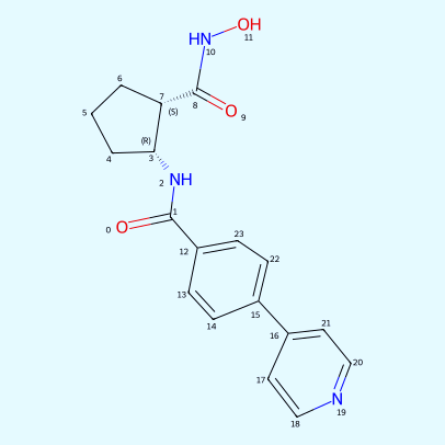 O=C(N[C@@H]1CCC[C@@H]1C(=O)NO)c1ccc(-c2ccncc2)cc1